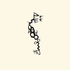 CC[C@H](/C=C/[C@@H](C)[C@H]1CC[C@H]2[C@@H]3CC=C4C[C@@H](OC(=O)CCCCCO)CC[C@]4(C)[C@H]3CC[C@]12C)C(C)C